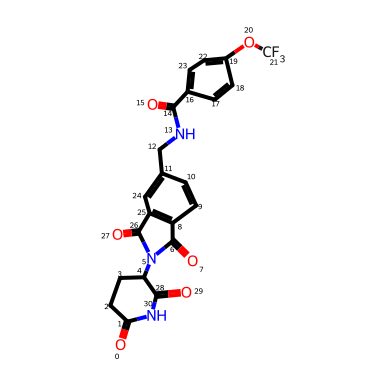 O=C1CCC(N2C(=O)c3ccc(CNC(=O)c4ccc(OC(F)(F)F)cc4)cc3C2=O)C(=O)N1